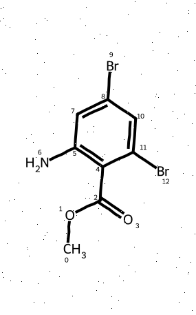 COC(=O)c1c(N)cc(Br)cc1Br